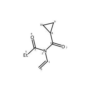 C=CN(C(=O)CC)C(=O)C1CC1